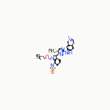 CN1CCc2ccc(Nc3ncc(C#N)c(-c4cn(COCC[Si](C)(C)C)c5c(N=S(C)(C)=O)cccc45)n3)cc2C1